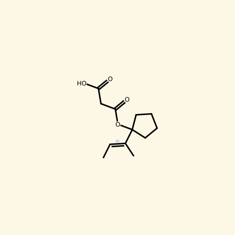 C/C=C(\C)C1(OC(=O)CC(=O)O)CCCC1